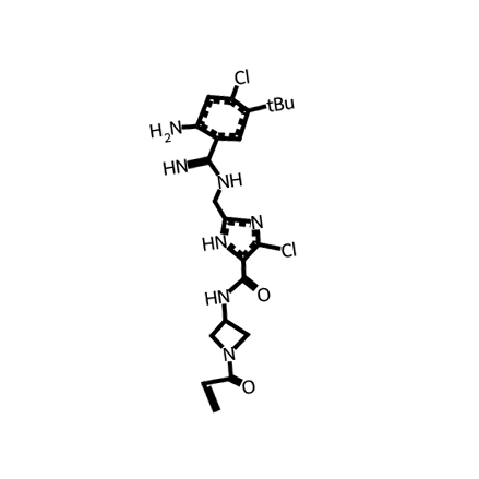 C=CC(=O)N1CC(NC(=O)c2[nH]c(CNC(=N)c3cc(C(C)(C)C)c(Cl)cc3N)nc2Cl)C1